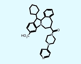 O=C(O)c1ccc2c(c1)N1CC(C(=O)N3CCN(c4ccncc4)CC3)Cc3ccccc3C1C2C1CCCCC1